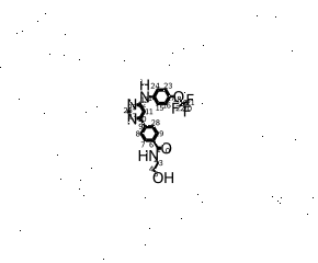 O=C(NCCO)c1ccc(-c2cc(Nc3ccc(OC(F)(F)F)cc3)ncn2)cc1